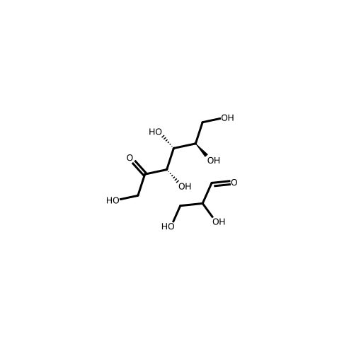 O=C(CO)[C@@H](O)[C@H](O)[C@H](O)CO.O=CC(O)CO